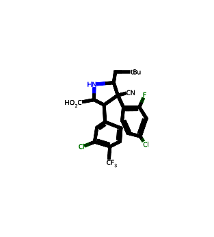 CC(C)(C)CC1NC(C(=O)O)C(c2ccc(C(F)(F)F)c(Cl)c2)C1(C#N)c1ccc(Cl)cc1F